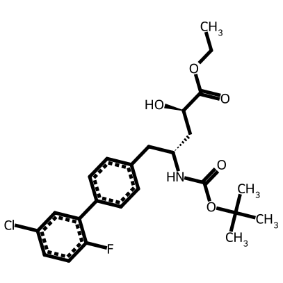 CCOC(=O)[C@H](O)C[C@@H](Cc1ccc(-c2cc(Cl)ccc2F)cc1)NC(=O)OC(C)(C)C